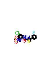 CS(=O)(=O)Nc1cc(Cl)cc(NC(=O)c2cc(-c3cccc(F)c3)cs2)c1